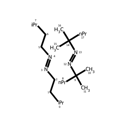 CC(C)CCN=NCCC(C)C.CCCC(C)(C)N=NC(C)(C)CCC